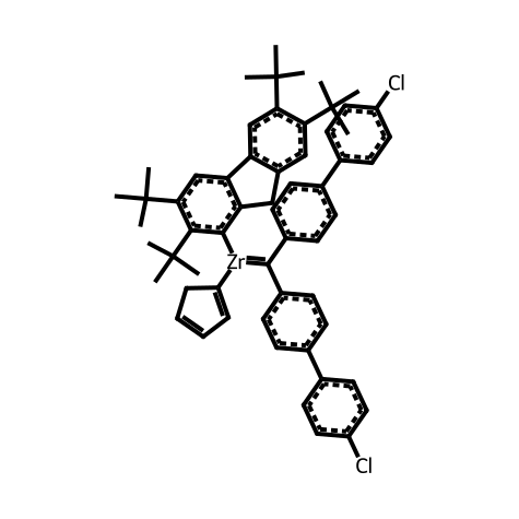 CC(C)(C)c1cc2c(cc1C(C)(C)C)-c1cc(C(C)(C)C)c(C(C)(C)C)[c]([Zr]([C]3=CC=CC3)=[C](c3ccc(-c4ccc(Cl)cc4)cc3)c3ccc(-c4ccc(Cl)cc4)cc3)c1C2